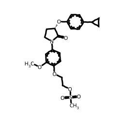 COc1cc(N2CC[C@H](Oc3ccc(C4CC4)cc3)C2=O)ccc1OCCOS(C)(=O)=O